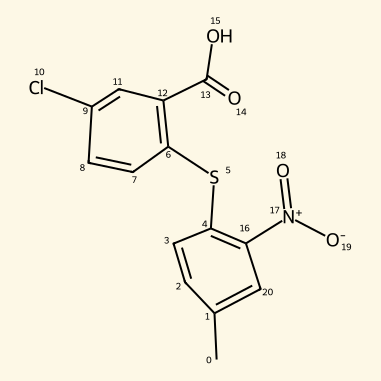 Cc1ccc(Sc2ccc(Cl)cc2C(=O)O)c([N+](=O)[O-])c1